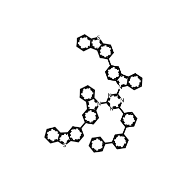 c1ccc(-c2cccc(-c3cccc(-c4nc(-n5c6ccccc6c6cc(-c7ccc8sc9ccccc9c8c7)ccc65)nc(-n5c6ccccc6c6cc(-c7ccc8sc9ccccc9c8c7)ccc65)n4)c3)c2)cc1